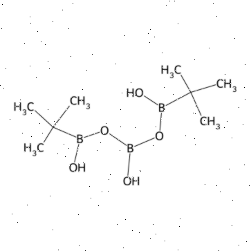 CC(C)(C)B(O)OB(O)OB(O)C(C)(C)C